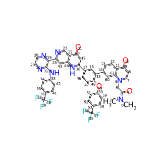 CN(C)C(=O)Cn1ccc(=O)c2ccc(-c3cc(-c4cc(=O)c5cnc(-c6nccnc6Nc6ccc(C(F)(F)F)cc6)cc5[nH]4)ccc3Oc3ccc(C(F)(F)F)cc3)cc21